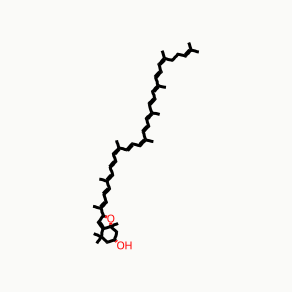 CC(C)=CCC\C(C)=C/C=C/C(C)=C/C=C/C(C)=C/C=C/C(C)=C\C=C\C(C)=C/C=C/C=C(C)/C=C/C=C(\C)C1C=C2C(C)(C)CC(O)CC2(C)O1